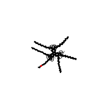 CCCCCCCCCCCCC[S+]([O-])c1cc2c3cc([S+]([O-])CCCCCCCCCCCCC)c([S+]([O-])CCCCCCCCCCCCC)cc3c3cc([S+]([O-])CCCCCCCCCCCCC)c([S+]([O-])CCCCCCCCCCCCC)cc3c2cc1[S+]([O-])CCCCCCCCCCCCC